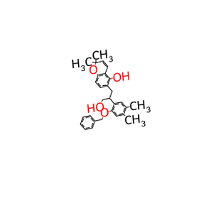 Cc1cc(OCc2ccccc2)c(C(CO)Cc2ccc3c(c2O)C=CC(C)(C)O3)cc1C